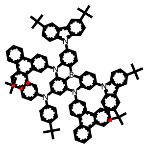 CC(C)(C)c1ccc(N(c2ccc(C(C)(C)C)cc2)c2cc3c4c(c2)N(c2ccc5c6ccccc6c6ccccc6c5c2)c2cc(-n5c6ccc(C(C)(C)C)cc6c6cc(C(C)(C)C)ccc65)ccc2B4c2ccc(-n4c5ccc(C(C)(C)C)cc5c5cc(C(C)(C)C)ccc54)cc2N3c2ccc3c4ccccc4c4ccccc4c3c2)cc1